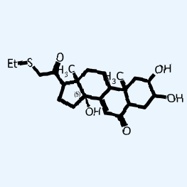 CCSCC(=O)C1CC[C@@]2(O)C3=CC(=O)C4CC(O)C(O)CC4(C)C3CCC12C